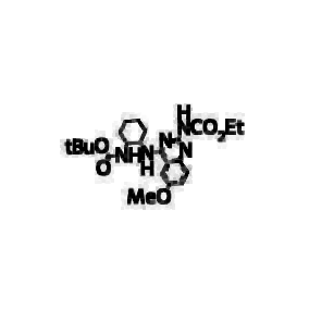 CCOC(=O)Nc1nc(NC2CCCCC2NC(=O)OC(C)(C)C)c2cc(OC)ccc2n1